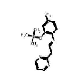 Cc1ccc(N=CCc2ncccn2)c(O[Si](C)(C)C)c1